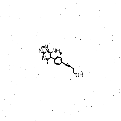 Cc1nc2ncnn2c(N)c1-c1ccc(C#CCCO)cc1